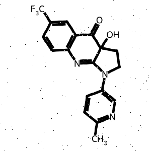 Cc1ccc(N2CCC3(O)C(=O)c4cc(C(F)(F)F)ccc4N=C23)cn1